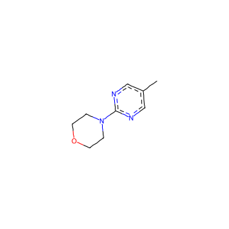 Cc1cnc(N2CCOCC2)nc1